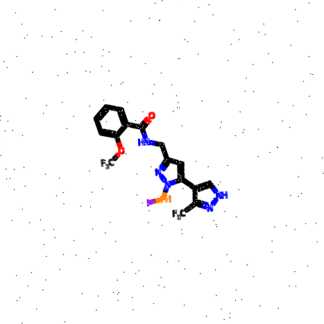 O=C(NCc1cc(-c2c[nH]nc2C(F)(F)F)n(PI)n1)c1ccccc1OC(F)(F)F